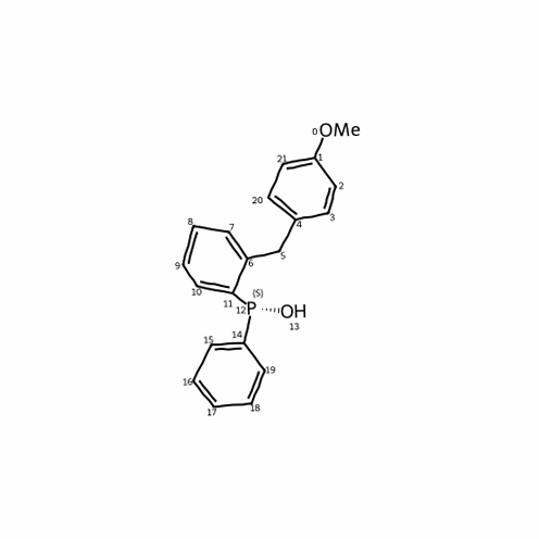 COc1ccc(Cc2ccccc2[P@](O)c2ccccc2)cc1